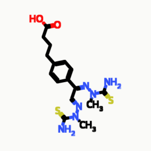 CN(N=CC(=NN(C)C(N)=S)c1ccc(CCCC(=O)O)cc1)C(N)=S